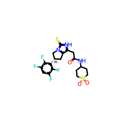 O=C(Cc1[nH]c(=S)n2c1C[C@H](c1c(F)c(F)cc(F)c1F)C2)NC1CCS(=O)(=O)CC1